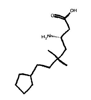 CC(C)(CCC1CCCC1)C[C@H](N)CC(=O)O